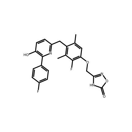 Cc1cc(OCc2noc(=O)[nH]2)c(F)c(C)c1Cc1ccc(O)c(-c2ccc(F)cc2)n1